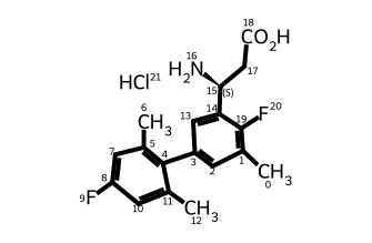 Cc1cc(-c2c(C)cc(F)cc2C)cc([C@@H](N)CC(=O)O)c1F.Cl